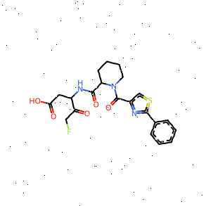 O=C(O)CC(NC(=O)C1CCCCN1C(=O)c1csc(-c2ccccc2)n1)C(=O)CF